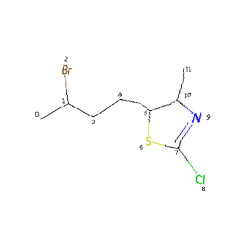 CC(Br)CCC1SC(Cl)=NC1C